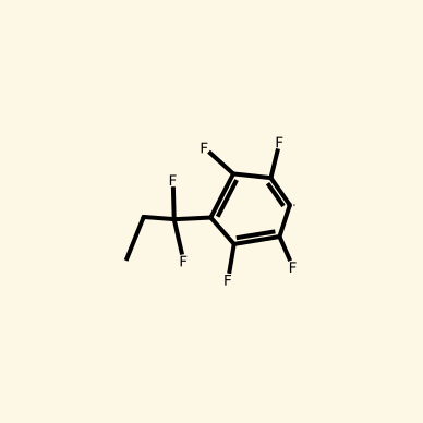 CCC(F)(F)c1c(F)c(F)[c]c(F)c1F